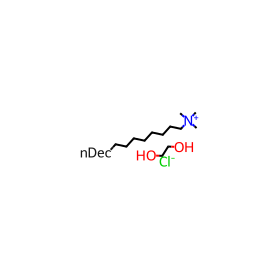 CCCCCCCCCCCCCCCCCC[N+](C)(C)C.OCCO.[Cl-]